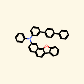 c1ccc(-c2ccc(-c3cccc(N(c4ccccc4)c4ccc5ccc6c7ccccc7oc6c5c4)c3)cc2)cc1